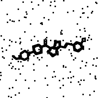 CCN1CCN(c2ccc(Nc3ncnc4c(/C=C/c5ccnc(Cl)c5)csc34)cc2)CC1